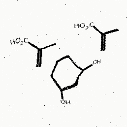 C=C(C)C(=O)O.C=C(C)C(=O)O.OC1CCCC(O)C1